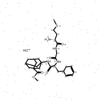 COC(=O)C12CC3CC(CC(NC(=O)[C@H](CC4C=CC=CC4)NC(=O)CNC(=O)[C@H](N)CCSC)(C3)C1)C2.Cl